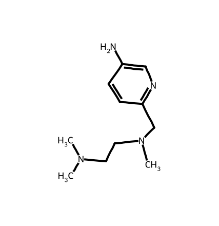 CN(C)CCN(C)Cc1ccc(N)cn1